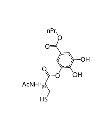 CCCOC(=O)c1cc(O)c(O)c(OC(=O)[C@H](CS)NC(C)=O)c1